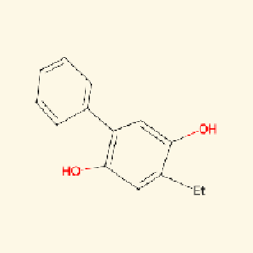 CCc1cc(O)c(-c2ccccc2)cc1O